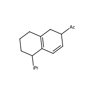 CC(=O)C1C=CC2=C(CCCC2C(C)C)C1